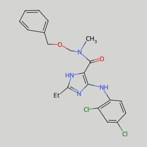 CCc1nc(Nc2ccc(Cl)cc2Cl)c(C(=O)N(C)COCc2ccccc2)[nH]1